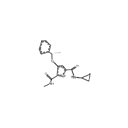 CNC(=O)c1[nH]c(C(=O)NC2CC2)cc1O[C@@H](C)c1ccccc1